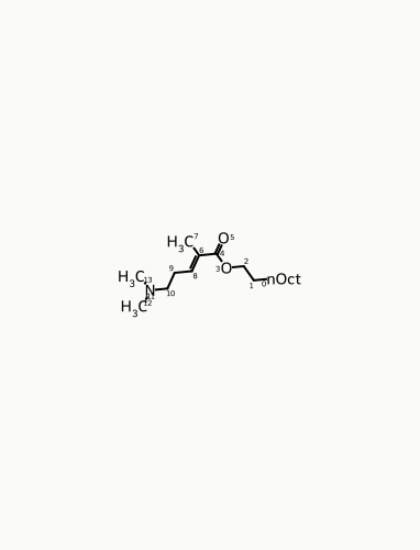 CCCCCCCCCCOC(=O)C(C)=CCCN(C)C